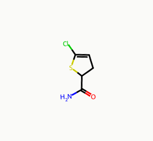 NC(=O)C1CC=C(Cl)S1